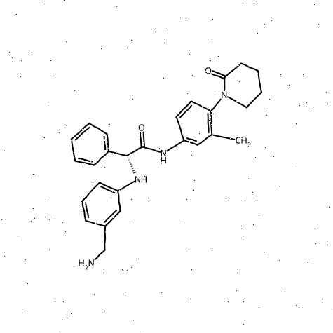 Cc1cc(NC(=O)[C@H](Nc2cccc(CN)c2)c2ccccc2)ccc1N1CCCCC1=O